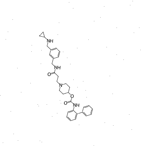 O=C(CCN1CCC(OC(=O)Nc2ccccc2-c2ccccc2)CC1)NCc1cccc(CNC2CC2)c1